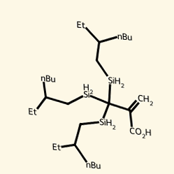 C=C(C(=O)O)C([SiH2]CC(CC)CCCC)([SiH2]CC(CC)CCCC)[SiH2]CC(CC)CCCC